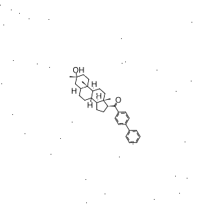 C[C@@]1(O)CC[C@@]2(C)[C@@H](CC[C@@H]3[C@@H]2CC[C@]2(C)[C@@H](C(=O)c4ccc(-c5ccccc5)cc4)CC[C@@H]32)C1